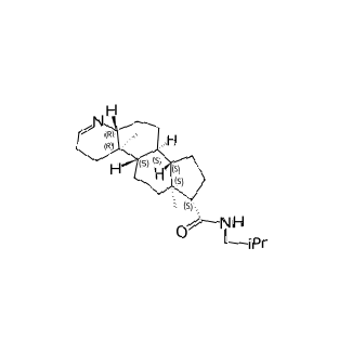 CC(C)CNC(=O)[C@H]1CC[C@H]2[C@@H]3CC[C@H]4N=CCC[C@]4(C)[C@H]3CC[C@]12C